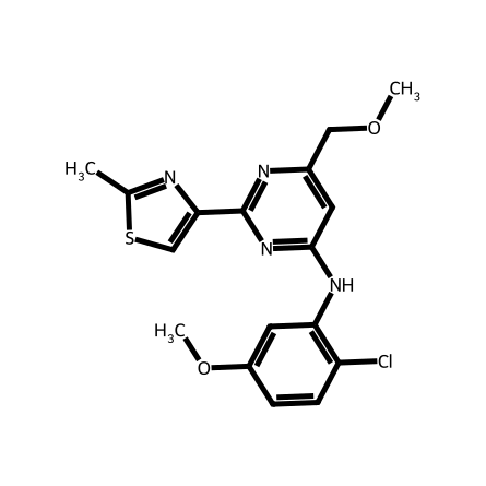 COCc1cc(Nc2cc(OC)ccc2Cl)nc(-c2csc(C)n2)n1